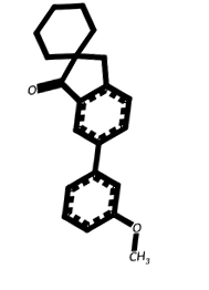 COc1cccc(-c2ccc3c(c2)C(=O)C2(CCCCC2)C3)c1